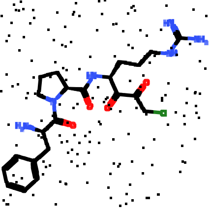 N=C(N)NCCC[C@H](NC(=O)[C@@H]1CCCN1C(=O)[C@H](N)Cc1ccccc1)C(=O)C(=O)CCl